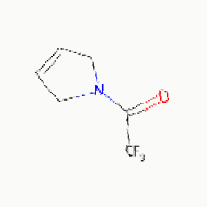 O=C(N1CC=CC1)C(F)(F)F